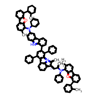 C=C(/C=c1\c(=C)n2c3c(-c4ccccc4)c(-c4cccc5c4[nH]c4ccc(N(c6c(C)ccc7c6oc6c(C8=C(C)C=CCC8)cccc67)C6C=CC=CC6)cc45)cc(-c4ccccc4)c3c3cccc1c32)N(c1ccccc1)c1c(C)ccc2c1oc1c(-c3ccccc3C)cccc12